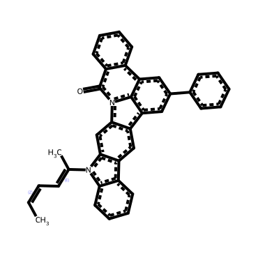 C/C=C\C=C(/C)n1c2ccccc2c2cc3c4cc(-c5ccccc5)cc5c6ccccc6c(=O)n(c3cc21)c54